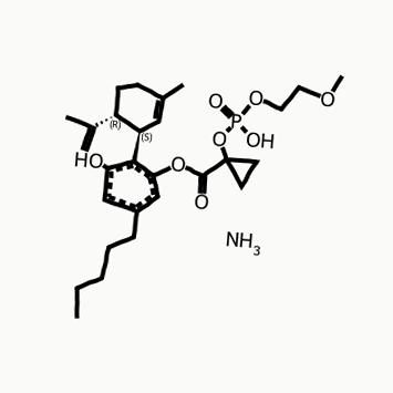 C=C(C)[C@@H]1CCC(C)=C[C@H]1c1c(O)cc(CCCCC)cc1OC(=O)C1(OP(=O)(O)OCCOC)CC1.N